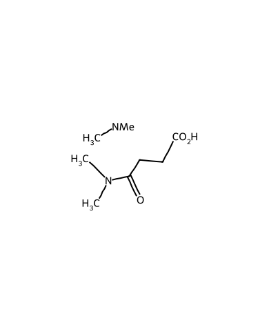 CN(C)C(=O)CCC(=O)O.CNC